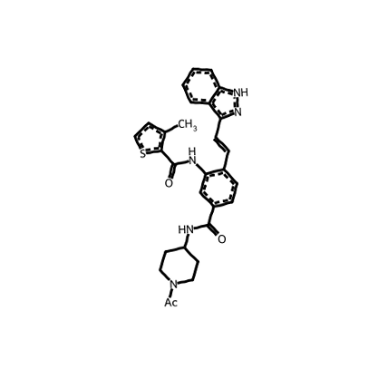 CC(=O)N1CCC(NC(=O)c2ccc(C=Cc3n[nH]c4ccccc34)c(NC(=O)c3sccc3C)c2)CC1